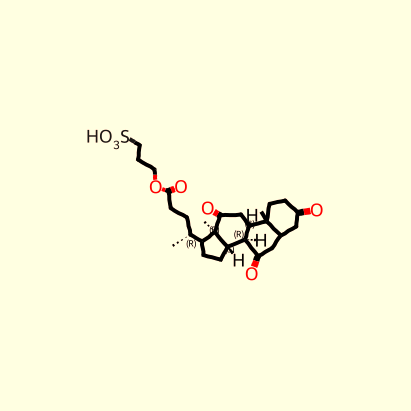 C[C@H](CCC(=O)OCCCS(=O)(=O)O)C1CC[C@H]2[C@@H]3C(=O)CC4CC(=O)CCC4(C)[C@H]3CC(=O)[C@]12C